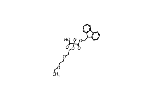 CCOCCOCCOC([N])(C(=O)O)C(=O)OCC1c2ccccc2-c2ccccc21